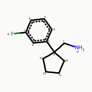 NCC1(c2cccc(F)c2)CCCC1